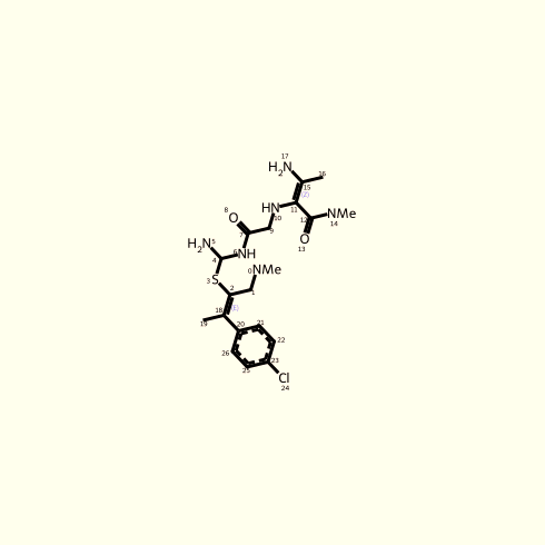 CNC/C(SC(N)NC(=O)CN/C(C(=O)NC)=C(/C)N)=C(/C)c1ccc(Cl)cc1